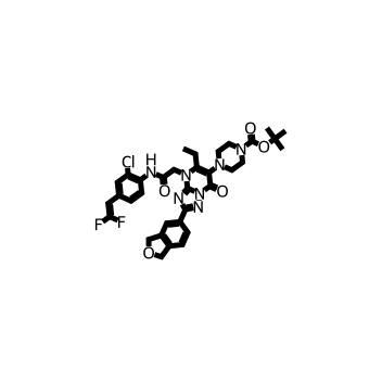 CCc1c(N2CCN(C(=O)OC(C)(C)C)CC2)c(=O)n2nc(-c3ccc4c(c3)COC4)nc2n1CC(=O)Nc1ccc(C=C(F)F)cc1Cl